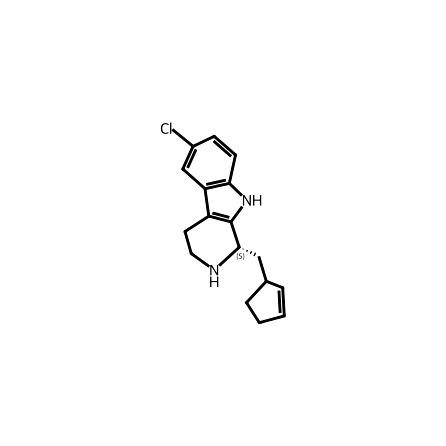 Clc1ccc2[nH]c3c(c2c1)CCN[C@H]3CC1C=CCC1